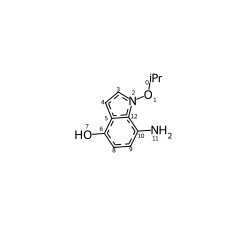 CC(C)On1ccc2c(O)ccc(N)c21